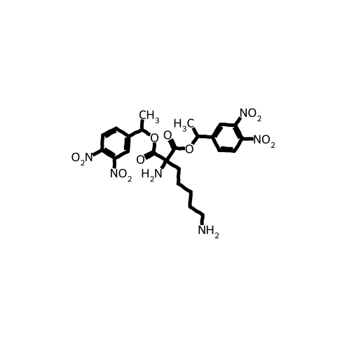 CC(OC(=O)C(N)(CCCCCN)C(=O)OC(C)c1ccc([N+](=O)[O-])c([N+](=O)[O-])c1)c1ccc([N+](=O)[O-])c([N+](=O)[O-])c1